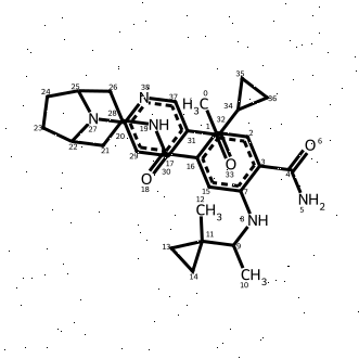 Cc1cc(C(N)=O)c(NC(C)C2(C)CC2)cc1C(=O)NC1CC2CCC(C1)N2c1ccc(C(=O)C2CC2)cn1